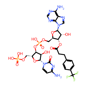 Nc1ccn([C@@H]2O[C@H](COP(=O)(O)O)[C@@H](OP(=O)(O)OC[C@H]3O[C@@H](n4cnc5c(N)ncnc54)[C@H](O)[C@@H]3OC(=O)CCc3ccc(C(F)(F)F)cc3)[C@H]2O)c(=O)n1